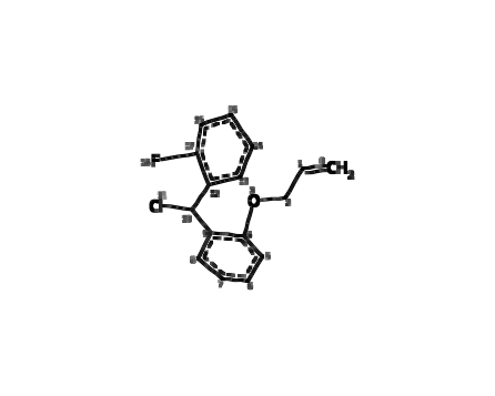 C=CCOc1ccccc1C(Cl)c1ccccc1F